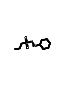 CCCS(=O)(=O)[N]NC1CCCCC1